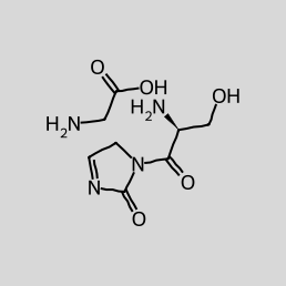 NCC(=O)O.N[C@@H](CO)C(=O)N1CC=NC1=O